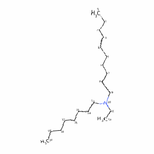 CCCCCCCCCCN(CC)CCCCCCCC